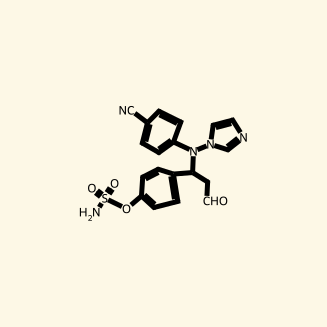 N#Cc1ccc(N(C(CC=O)c2ccc(OS(N)(=O)=O)cc2)n2ccnc2)cc1